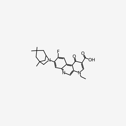 CCn1cc(C(=O)O)c(=O)c2c3cc(F)c(N4CC5(C)CC4CC(C)(C)C5)cc3ncc21